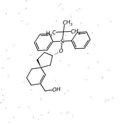 CC(C)(C)[Si](O[C@H]1CC[C@]2(C=C(CO)CCC2)C1)(c1ccccc1)c1ccccc1